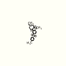 CCN1CC[C@@H]2c3cc(S(=O)(=O)c4ccc(C)cc4)ccc3N(C)[C@@H]2CC1